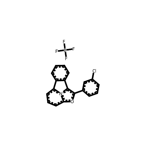 Clc1cccc(-c2oc3cccc4[n+]3c2-c2ccccc2-4)c1.F[B-](F)(F)F